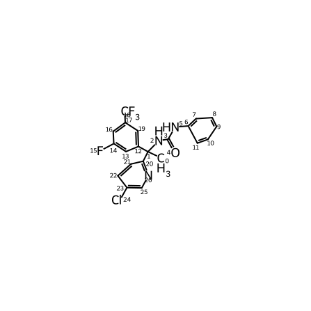 CC(NC(=O)Nc1ccccc1)(c1cc(F)cc(C(F)(F)F)c1)c1ccc(Cl)cn1